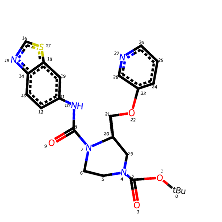 CC(C)(C)OC(=O)N1CCN(C(=O)Nc2ccc3ncsc3c2)C(COc2cccnc2)C1